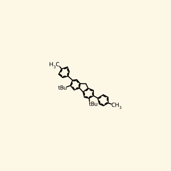 Cc1ccc(-c2cc3c(cc2C(C)(C)C)-c2cc(C(C)(C)C)c(-c4ccc(C)cc4)cc2C3)cc1